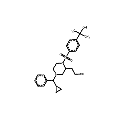 CC(O)(c1ccc(S(=O)(=O)N2CCN(C(c3ccncc3)C3CC3)CC2CCO)cc1)C(F)(F)F